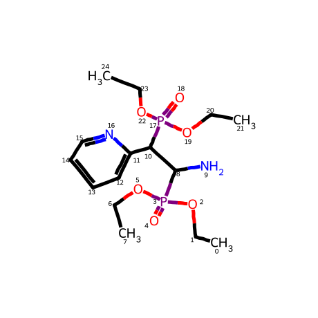 CCOP(=O)(OCC)C(N)C(c1ccccn1)P(=O)(OCC)OCC